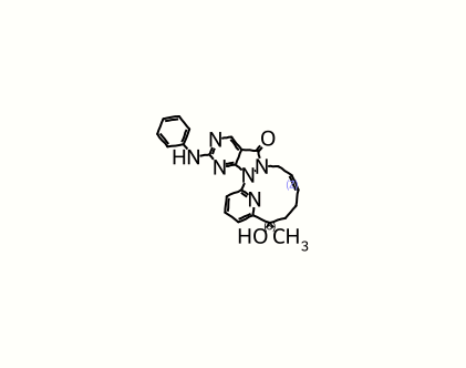 C[C@]1(O)CC/C=C\Cn2c(=O)c3cnc(Nc4ccccc4)nc3n2-c2cccc1n2